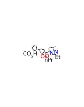 CCCC(=O)O[C@H](c1ccc(-c2ccccc2C(=O)O)cc1)c1ccc(C)c2nc(CC)cn12